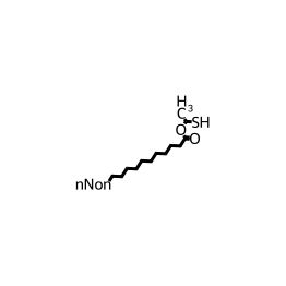 CCCCCCCCCCCCCCCCCCCC(=O)OC(C)S